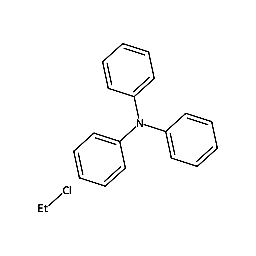 CCCl.c1ccc(N(c2ccccc2)c2ccccc2)cc1